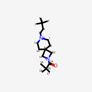 CC(C)(C)CCN1CCC2(CC1)CN(C(=O)C(C)(C)C)C2